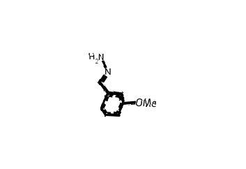 COc1cccc(C=NN)c1